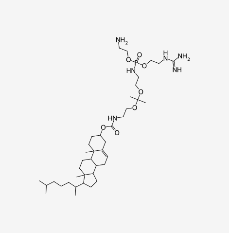 CC(C)CCCC(C)C1CCC2C3CC=C4CC(OC(=O)NCCOC(C)(C)OCCNP(=O)(OCCN)OCCNC(=N)N)CCC4(C)C3CCC12C